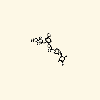 Cc1cc(CN2CCN(C(=O)COc3ccc(Cl)cc3CC(C)(C)S(=O)(=O)O)CC2)c(C)cc1F